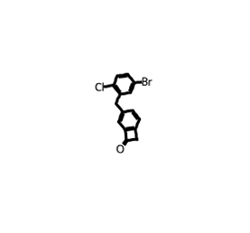 O=C1Cc2ccc(Cc3cc(Br)ccc3Cl)cc21